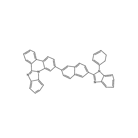 C1=CCCC(n2c(-c3ccc4cc(-c5ccc6c7ccccc7c7nc8ccccc8n7c6c5)ccc4c3)nc3ccccc32)=C1